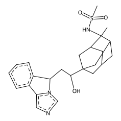 CC1(NS(C)(=O)=O)C2CC3CC1CC(C(O)CC1c4ccccc4-c4cncn41)(C3)C2